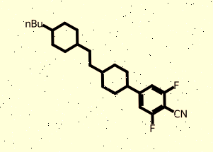 CCCCC1CCC(CCC2CCC(c3cc(F)c(C#N)c(F)c3)CC2)CC1